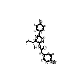 CCCc1nc(-c2ccc(F)cc2)cnc1NC(=O)Cc1ccc(Br)cc1